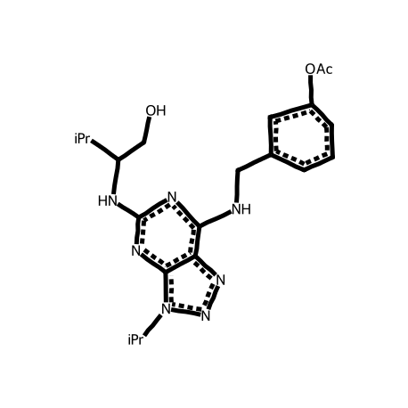 CC(=O)Oc1cccc(CNc2nc(NC(CO)C(C)C)nc3c2nnn3C(C)C)c1